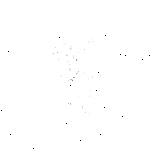 COc1cc([C@H](O)[C@@H](O)c2ccc(OC)c(O[Si](C)(C)C(C)(C)C)c2O[Si](C)(C)C(C)(C)C)cc(OC)c1OC